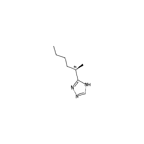 CCCC[C@@H](C)c1nnc[nH]1